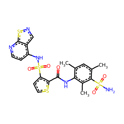 Cc1cc(C)c(S(N)(=O)=O)c(C)c1NC(=O)c1sccc1S(=O)(=O)Nc1ccnc2sncc12